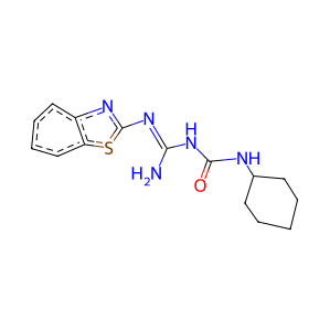 N/C(=N\c1nc2ccccc2s1)NC(=O)NC1CCCCC1